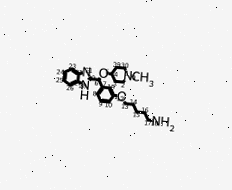 CN1CCC(OC(c2cccc(OCCCCCN)c2)c2nc3ccccc3[nH]2)CC1